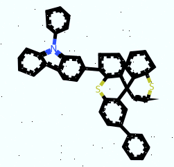 c1ccc(-c2ccc3c(c2)C2(c4ccccc4Sc4ccccc42)c2cccc(-c4ccc5c6ccccc6n(-c6ccccc6)c5c4)c2S3)cc1